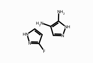 Fc1cc[nH]n1.Nc1cn[nH]c1N